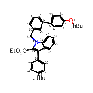 CCCCOc1ccc(-c2cccc(Cn3c(C(=O)OCC)c(-c4ccc(C(C)(C)C)cc4)c4ccccc43)c2)cc1